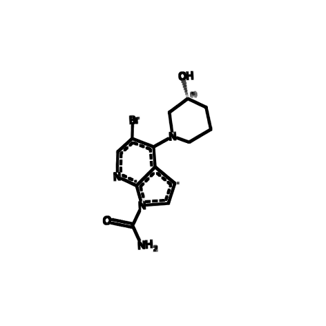 NC(=O)n1c[c]c2c(N3CCC[C@@H](O)C3)c(Br)cnc21